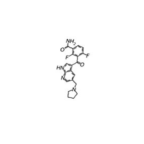 NC(=O)c1ccc(F)c(C(=O)c2c[nH]c3ncc(CN4CCCC4)cc23)c1F